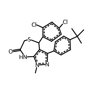 Cn1nc(-c2ccc(C(C)(C)C)cc2)c2c1NC(=O)CSC2c1ccc(Cl)cc1Cl